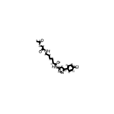 CC(=O)SCC(=O)NCCCCCC(=O)NC1=NN=C(c2ccc(Cl)cc2)C1